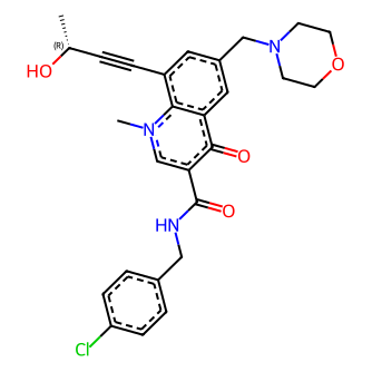 C[C@@H](O)C#Cc1cc(CN2CCOCC2)cc2c(=O)c(C(=O)NCc3ccc(Cl)cc3)cn(C)c12